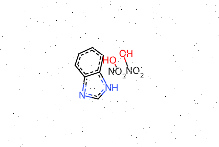 O=[N+]([O-])O.O=[N+]([O-])O.c1ccc2[nH]cnc2c1